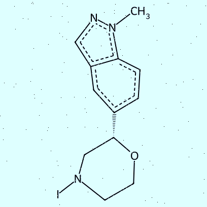 Cn1ncc2cc([C@H]3CN(I)CCO3)ccc21